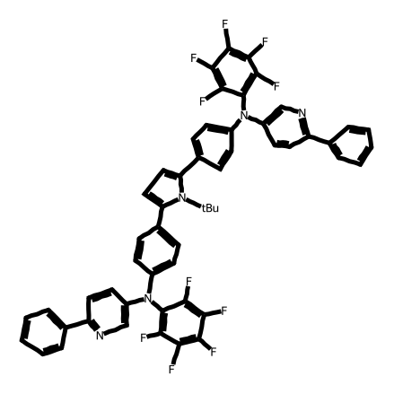 CC(C)(C)n1c(-c2ccc(N(c3ccc(-c4ccccc4)nc3)c3c(F)c(F)c(F)c(F)c3F)cc2)ccc1-c1ccc(N(c2ccc(-c3ccccc3)nc2)c2c(F)c(F)c(F)c(F)c2F)cc1